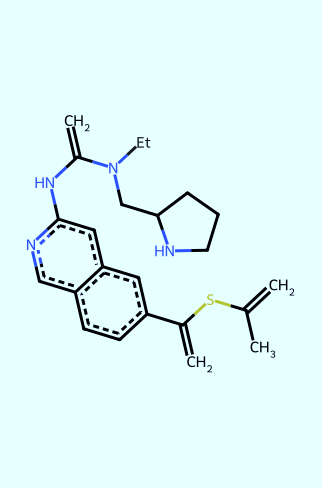 C=C(C)SC(=C)c1ccc2cnc(NC(=C)N(CC)CC3CCCN3)cc2c1